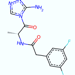 C[C@@H](NC(=O)Cc1cc(F)cc(F)c1)C(=O)n1cnnc1N